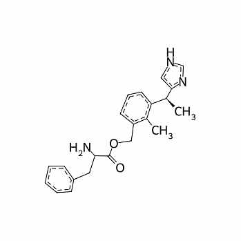 Cc1c(COC(=O)C(N)Cc2ccccc2)cccc1[C@H](C)c1c[nH]cn1